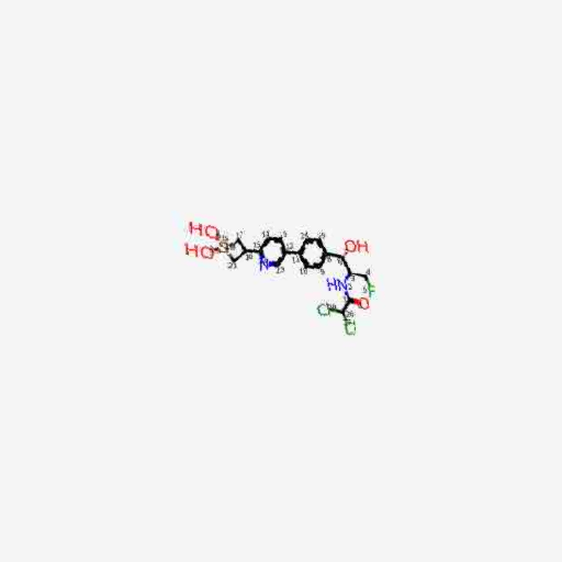 O=C(N[C@H](CF)[C@@H](O)c1ccc(-c2ccc(C3CS(O)(O)C3)nc2)cc1)C(Cl)Cl